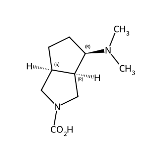 CN(C)[C@@H]1CC[C@@H]2CN(C(=O)O)C[C@@H]21